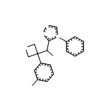 FC(c1nncn1-c1ccccc1)C1(c2cccc(Br)c2)COC1